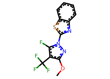 COc1nn(-c2nc3ccccc3s2)c(F)c1C(F)(F)F